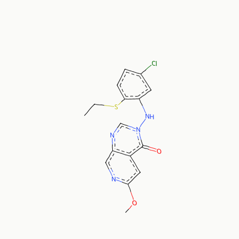 CCSc1ccc(Cl)cc1Nn1cnc2cnc(OC)cc2c1=O